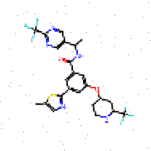 Cc1cnc(-c2cc(OC3CCNC(C(F)(F)F)C3)cc(C(=O)NC(C)c3cnc(C(F)(F)F)nc3)c2)s1